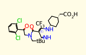 CC(C)(C)CN(CC(=O)c1c(Cl)cccc1Cl)C(=O)/C(C=N)=C(/N[C@H]1CC[C@@H](CC(=O)O)CC1)C(F)(F)F